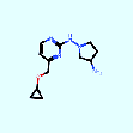 NC1CCN(Nc2nccc(COC3CC3)n2)C1